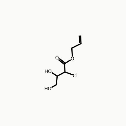 C=CCOC(=O)C(Cl)C(O)CO